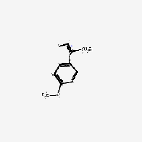 C/C=C(/C(=O)OCC)c1ccc(OC(F)(F)F)cc1